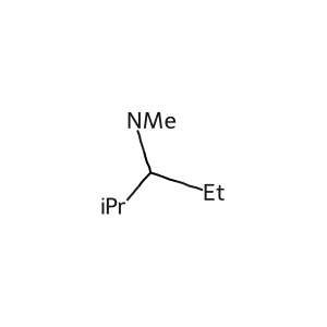 CCC(NC)C(C)C